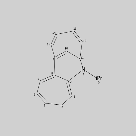 CC(C)N1C2=CCC=CC=C2C2=CC1C=CC=C2